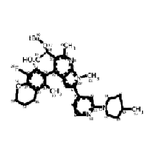 Cc1nc2c(cc(-c3ccnc(N4CCC(C)CC4)c3)n2C)c(-c2cc(F)c3c(c2C)CCCO3)c1[C@H](OC(C)(C)C)C(=O)O